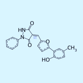 Cc1ccc(O)c(-c2ccc(/C=C3/C(=O)NN(c4ccccc4)C3=O)o2)c1